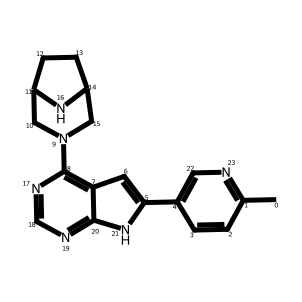 Cc1ccc(-c2cc3c(N4CC5CCC(C4)N5)ncnc3[nH]2)cn1